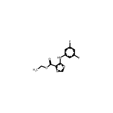 CCOC(=O)c1ncsc1Nc1cc(F)cc(F)c1